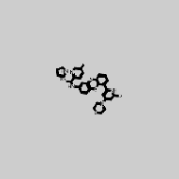 Cc1ccc(C(C[C@@H]2CCCN2)Nc2ccc3c(c2)Sc2cccc(-c4cc(N5CCOCC5)cc(=O)[nH]4)c2S3)nc1